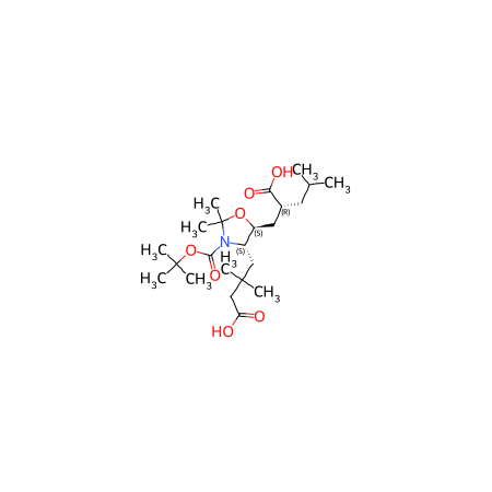 CC(C)C[C@H](C[C@@H]1OC(C)(C)N(C(=O)OC(C)(C)C)[C@H]1CC(C)(C)CC(=O)O)C(=O)O